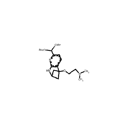 COC(OC)c1ccc2c(n1)NC1CC2(OCCN(C)C)C1